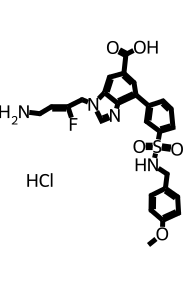 COc1ccc(CNS(=O)(=O)c2cccc(-c3cc(C(=O)O)cc4c3ncn4CC(F)=CCN)c2)cc1.Cl